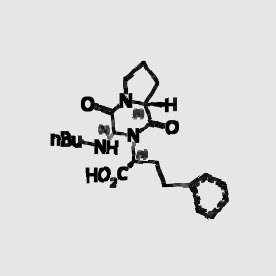 CCCCN[C@@H]1C(=O)N2CCC[C@@H]2C(=O)N1[C@@H](CCc1ccccc1)C(=O)O